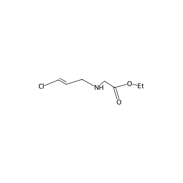 CCOC(=O)CNC/C=C/Cl